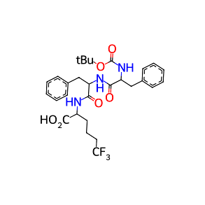 CC(C)(C)OC(=O)NC(Cc1ccccc1)C(=O)NC(Cc1ccccc1)C(=O)NC(CCCC(F)(F)F)C(=O)O